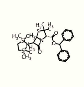 CC1(C)S[C@@H]2C(N3[Si](C)(C)CC[Si]3(C)C)C(=O)N2[C@H]1C(=O)OC(c1ccccc1)c1ccccc1